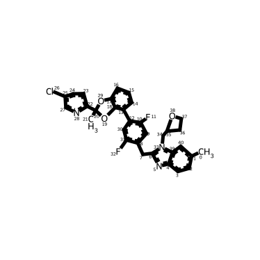 Cc1ccc2nc(Cc3cc(F)c(-c4cccc5c4OC(C)(c4ccc(Cl)cn4)O5)cc3F)n(CC3CCO3)c2c1